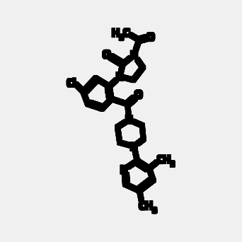 CC(=O)N1CCN(c2cc(Cl)ccc2C(=O)N2CCN(c3ncc(C)cc3C)CC2)C1=O